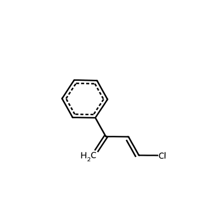 C=C(C=CCl)c1ccccc1